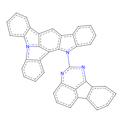 c1ccc2c(c1)-c1cccc3nc(-n4c5ccccc5c5cc6c7ccccc7n7c8ccccc8c(c54)c67)nc-2c13